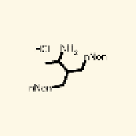 CCCCCCCCCCC(CCCCCCCCCC)C(C)N.Cl